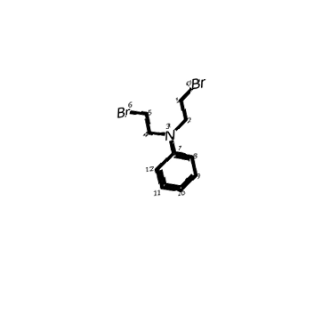 BrCCN(CCBr)C1=CC=C=C=C1